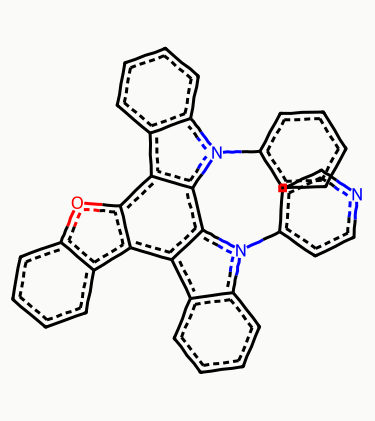 c1ccc(-n2c3ccccc3c3c4oc5ccccc5c4c4c5ccccc5n(-c5ccncc5)c4c32)cc1